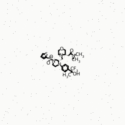 CN(C)C(=O)C[C@H]1COCCN1C[C@H]1CN(S(=O)(=O)c2cccs2)CCN1c1ccc([C@](C)(O)C(F)(F)F)cc1